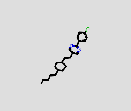 CCCC=CC1CCC(CCc2cnc(-c3ccc(Cl)cc3)nc2)CC1